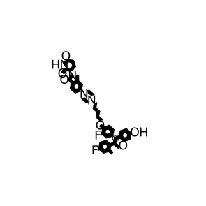 Cc1cc(F)ccc1C1COc2cc(O)ccc2[C@H]1c1ccc(OCCCCCN2CCN(c3ccc4c(c3)CN(C3CCC(=O)NC3=O)C4=O)CC2)c(F)c1